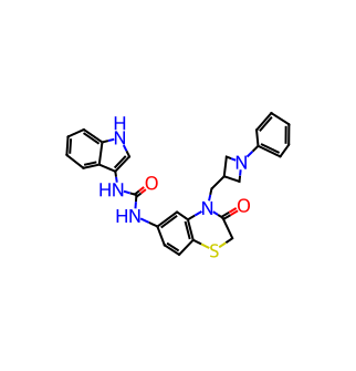 O=C(Nc1ccc2c(c1)N(CC1CN(c3ccccc3)C1)C(=O)CS2)Nc1c[nH]c2ccccc12